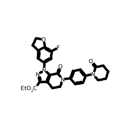 CCOC(=O)c1nn(-c2cc(F)c3c(c2)CCO3)c2c1CCN(c1ccc(N3CCCCC3=O)cc1)C2=O